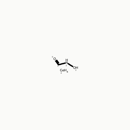 O=CNO.[GeH4]